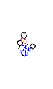 Cc1ccc2c(oc3ccccc32)c1N1c2nccnc2[N+](C)(c2ccccc2)[C@@H]1C